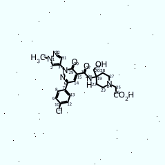 Cn1cc(-n2nc(-c3ccc(Cl)cc3)cc(C(=O)NC3(CO)CCN(CC(=O)O)CC3)c2=O)cn1